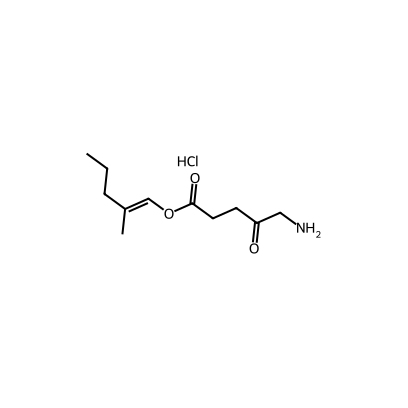 CCCC(C)=COC(=O)CCC(=O)CN.Cl